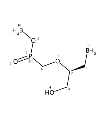 BC[C@@H](CO)OC[PH](=O)OB